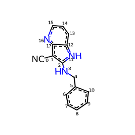 N#Cc1c(NCc2ccccc2)[nH]c2cccnc12